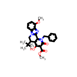 COC(=O)c1c(O)c2c(n(Cc3ccccc3)c1=O)-c1nc3c(OC)cccc3n1CC2C(C)(C)C